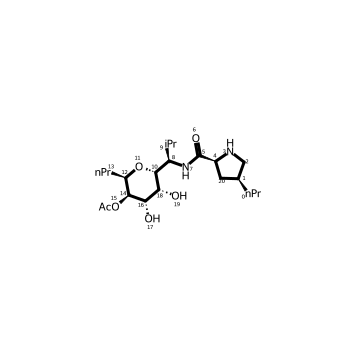 CCC[C@@H]1CN[C@H](C(=O)N[C@H](C(C)C)[C@H]2O[C@H](CCC)[C@H](OC(C)=O)[C@@H](O)[C@H]2O)C1